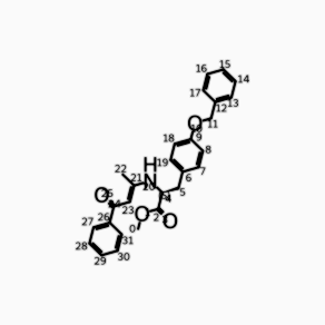 COC(=O)[C@H](Cc1ccc(OCc2ccccc2)cc1)NC(C)=CC(=O)c1ccccc1